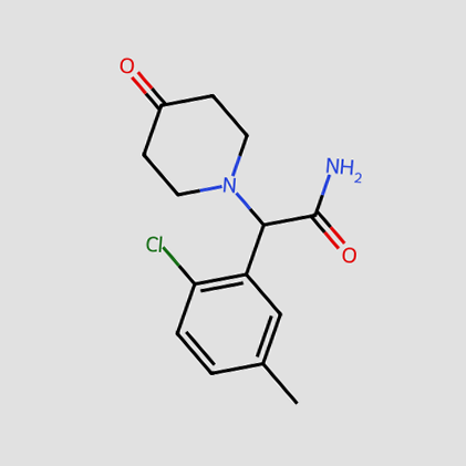 Cc1ccc(Cl)c(C(C(N)=O)N2CCC(=O)CC2)c1